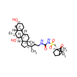 CC[C@H]1[C@@H](O)[C@@H]2[C@H](CC[C@]3(C)[C@@H]([C@H](C)CCNC(=O)NS(=O)(=O)C[C@]45CCC(CC4=O)C5(C)C)CC[C@@H]23)[C@@]2(C)CC[C@@H](O)C[C@@H]12